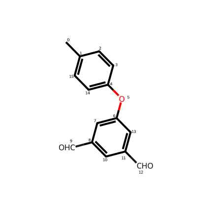 Cc1ccc(Oc2cc(C=O)cc(C=O)c2)cc1